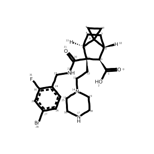 O=C(O)[C@@H]1[C@H]2CC[C@@H](C23CC3)[C@@]1(CCN1CCNCC1)C(=O)NCc1ccc(Br)cc1F